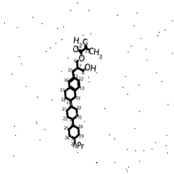 C=C(C)C(=O)OCC(CO)Cc1ccc2c(c1)CCC(C1CCC(C3CCC(CCC)CC3)CC1)C2